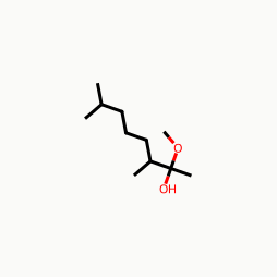 COC(C)(O)C(C)CCCC(C)C